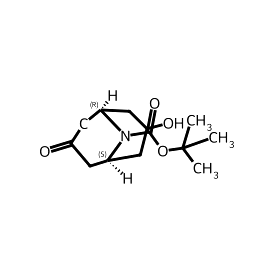 CC(C)(C)OC(=O)N1[C@@H]2CC(=O)C[C@H]1CC(O)C2